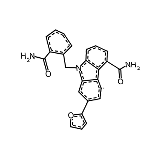 NC(=O)c1ccccc1Cn1c2cc(-c3ccco3)c[c]c2c2c(C(N)=O)cccc21